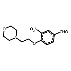 O=Cc1ccc(OCCN2CCOCC2)c([N+](=O)[O-])c1